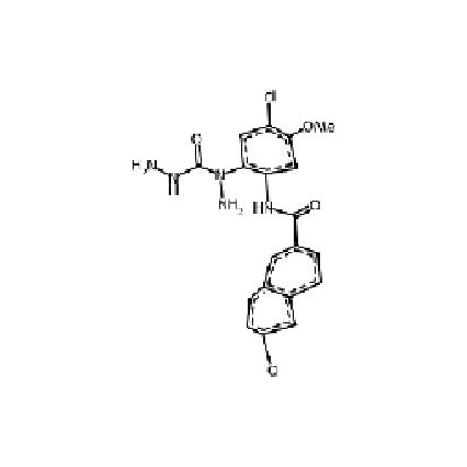 COc1cc(NC(=O)c2ccc3cc(Cl)ccc3c2)c(N(N)C(=O)NN)cc1Cl